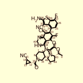 CC(OC1=CN(C2CCN(C(=O)[C@@H]3C[C@H]3C#N)CC2)C2=c3c(c(F)c(-c4ccc(F)c5sc(N)c(C#N)c45)c(Cl)c3=NCN2)O1)[C@@H]1CCCN1C